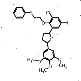 COc1cc(C2CCC(c3cc(I)cc(Cl)c3OCCSc3ccccc3)O2)cc(OC)c1OC